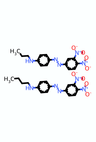 CCCCNc1ccc(N=Nc2ccc([N+](=O)[O-])c([N+](=O)[O-])c2)cc1.CCCNc1ccc(N=Nc2ccc([N+](=O)[O-])c([N+](=O)[O-])c2)cc1